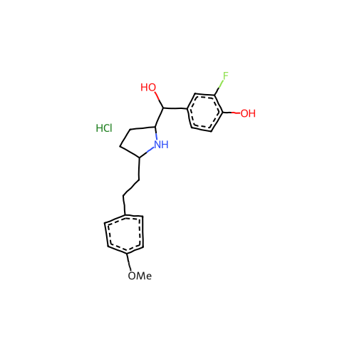 COc1ccc(CCC2CCC(C(O)c3ccc(O)c(F)c3)N2)cc1.Cl